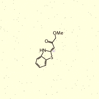 COCC(=O)/C=C1\Nc2ccccc2S1